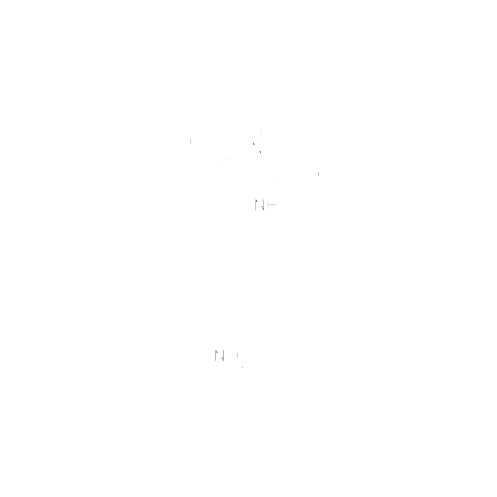 O=C1NC(=O)C(=Cc2ccc([N+](=O)[O-])cc2)N1